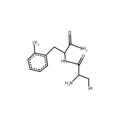 CC(C)CC(N)C(=O)NC(Cc1ccccc1C(F)(F)F)C(N)=O